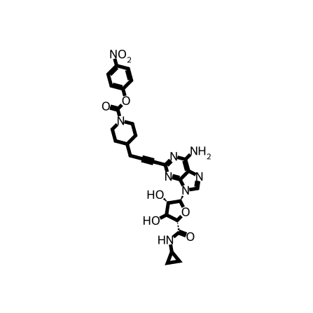 Nc1nc(C#CCC2CCN(C(=O)Oc3ccc([N+](=O)[O-])cc3)CC2)nc2c1ncn2[C@@H]1O[C@H](C(=O)NC2CC2)C(O)[C@@H]1O